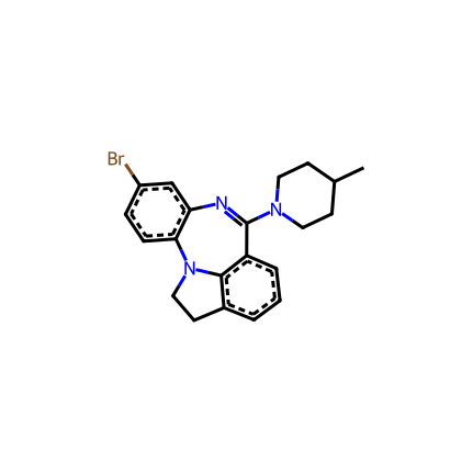 CC1CCN(C2=Nc3cc(Br)ccc3N3CCc4cccc2c43)CC1